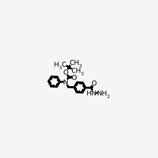 CC(C)(C)OC(=O)N(Cc1ccc(C(=O)NN)cc1)c1ccccc1